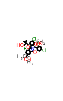 CC(C)(O)c1cc(F)c2c(c1)C(=O)N(Cc1ccc(Cl)cc1S(C)(=O)=O)[C@@]2(OCC1(CO)CC1)c1ccc(Cl)cc1